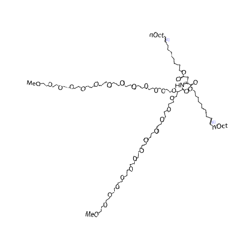 CCCCCCCC/C=C/CCCCCCCCOC(=O)C[C@H](NC(=O)C(COCCOCCOCCOCCOCCOCCOCCOCCOCCOCCOCCOCCOC)OCCOCOCCOCCOCCOCCOCCOCCOCCOCCOCCOCCOC)C(=O)OCCCCCCCC/C=C/CCCCCCCC